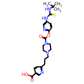 CC(C)(C)NC(=S)Nc1ccc(OC(=O)N2CCN(CCCc3ccc(C(=O)O)cn3)CC2)nc1